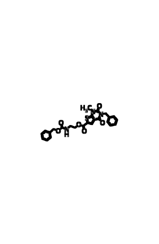 Cn1c(=O)n(Cc2ccccc2)c(=O)c2cc(C(=O)OCCNC(=O)OCc3ccccc3)sc21